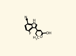 CC/C(=C\C(=O)O)c1c[nH]c2c(C#N)ccc(F)c12